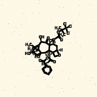 CC(=O)O[C@@]12CO[C@@H]1C[C@H](OC(=O)OC(C)(C)C(Cl)(Cl)Cl)[C@@]1(C)C(=O)[C@H](O)C3=C(C)[C@@H](O)C[C@@](O)([C@@H](OC(=O)c4ccccc4)[C@H]21)C3(C)C